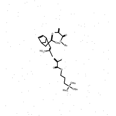 C=C(C)C(=O)OC(C)(C)C.C=C(C)C(=O)OCCC[Si](OC)(OC)OC.COC(=O)C1(C=C(C)C(=O)O)CC2C=CC1C2